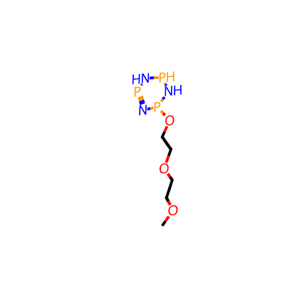 COCCOCCOp1np[nH][pH][nH]1